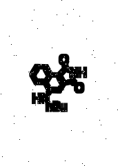 CCCCNc1cc2c(c3ccccc13)C(=O)NC2=O